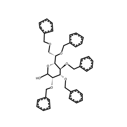 OC1O[C@H]([C@H](COCc2ccccc2)OCc2ccccc2)[C@@H](OCc2ccccc2)[C@H](OCc2ccccc2)[C@@H]1OCc1ccccc1